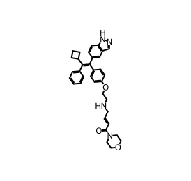 O=C(/C=C/CNCCOc1ccc(/C(=C(\c2ccccc2)C2CCC2)c2ccc3[nH]ncc3c2)cc1)N1CCOCC1